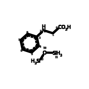 O=C(O)CNc1ccccc1.[SiH3]O[SiH3]